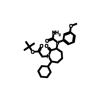 COc1cccc(N(C(N)=O)C2CCCC(C3CCCCC3)N(CC(=O)OC(C)(C)C)C2=O)c1